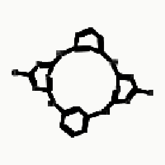 Clc1nc2nc(n1)Nc1cccc(c1)Nc1nc(Cl)nc(n1)Nc1cccc(c1)N2